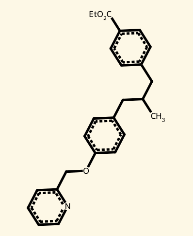 CCOC(=O)c1ccc(CC(C)Cc2ccc(OCc3ccccn3)cc2)cc1